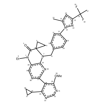 CCN1C(=O)C2(CC2)N(Cc2ccc(-n3nc(C(C)(F)F)cc3C)cc2)c2nc(-c3c(OC)ncnc3C3CC3)ncc21